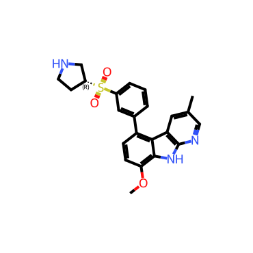 COc1ccc(-c2cccc(S(=O)(=O)[C@@H]3CCNC3)c2)c2c1[nH]c1ncc(C)cc12